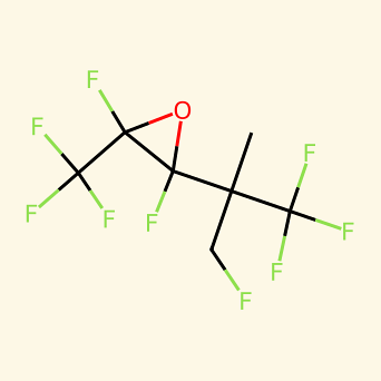 CC(CF)(C(F)(F)F)C1(F)OC1(F)C(F)(F)F